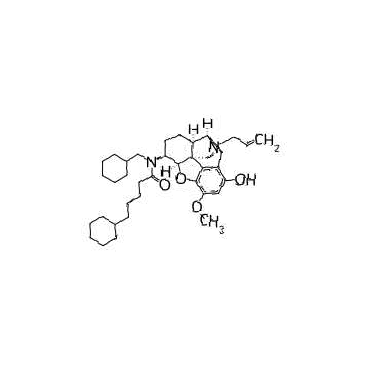 C=CCN1CC[C@]23c4c5c(O)cc(OC)c4O[C@H]2[C@@H](N(CC2CCCCC2)C(=O)CCCCC2CCCCC2)CC[C@H]3[C@H]1C5